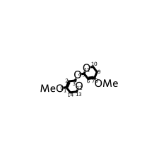 COC1=CC(OC2C=C(OC)CCO2)OCC1